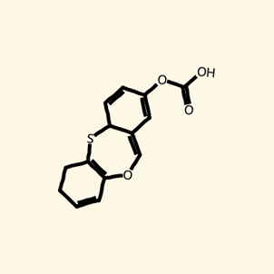 O=C(O)OC1=CC2=COC3=C(CCC=C3)SC2C=C1